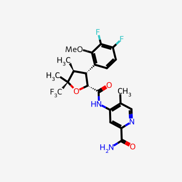 COc1c([C@@H]2[C@H](C(=O)Nc3cc(C(N)=O)ncc3C)O[C@@](C)(C(F)(F)F)[C@H]2C)ccc(F)c1F